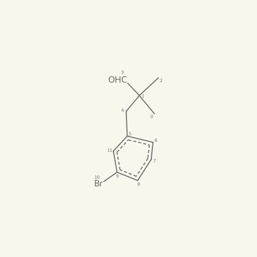 CC(C)(C=O)Cc1cccc(Br)c1